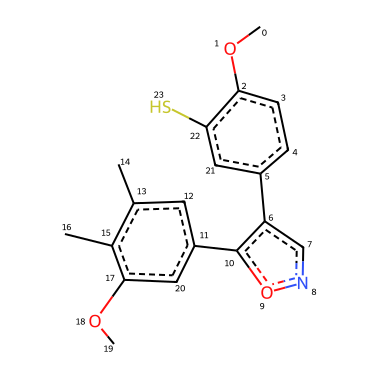 COc1ccc(-c2cnoc2-c2cc(C)c(C)c(OC)c2)cc1S